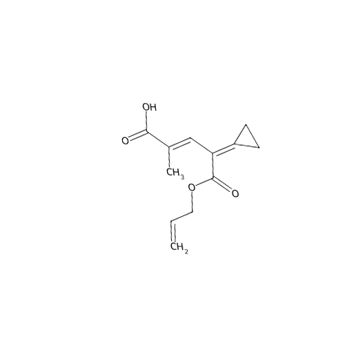 C=CCOC(=O)C(C=C(C)C(=O)O)=C1CC1